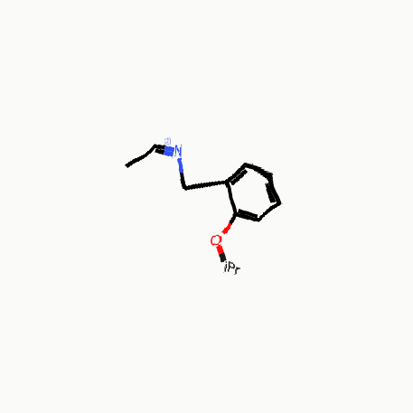 C/C=N\Cc1ccccc1OC(C)C